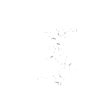 COCCCn1cnnc1SCC1(C(=O)O)CS[C@@H]2C(NC(=O)C(=NOC)c3nsc(N)n3)C(=O)N2C1